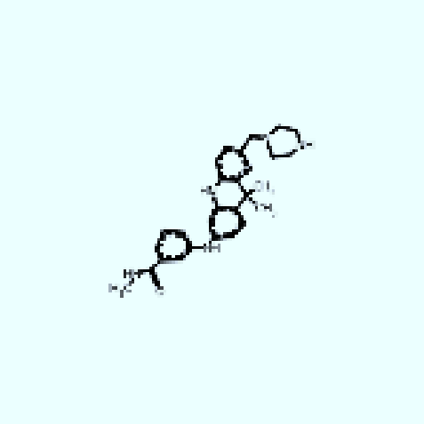 CNC(=O)c1cccc(Nc2ccc3c(c2)Nc2ccc(CN4CCNCC4)cc2C3(C)C)c1